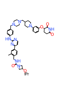 Cc1cc(-c2ccnc(Nc3ccc(CN4CCN(CC5CCN(c6cccc(OC7CCC(=O)NC7=O)c6)CC5)CC4)cc3)n2)ccc1CNC(=O)N1CC(OC(C)C)C1